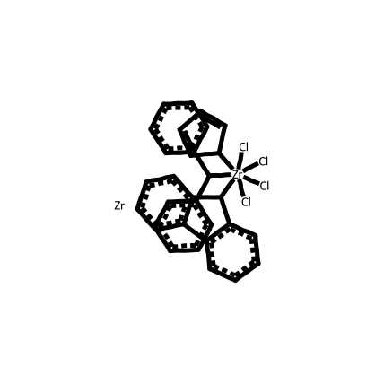 [Cl][Zr]([Cl])([Cl])([Cl])([CH]1C=CC=C1)([CH](c1ccccc1)c1ccccc1)[CH]1c2ccccc2-c2ccccc21.[Zr]